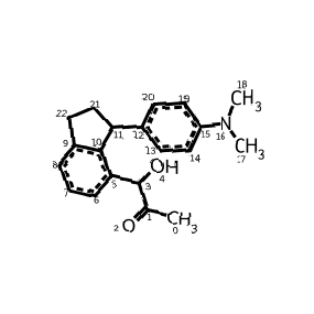 CC(=O)C(O)c1cccc2c1C(c1ccc(N(C)C)cc1)CC2